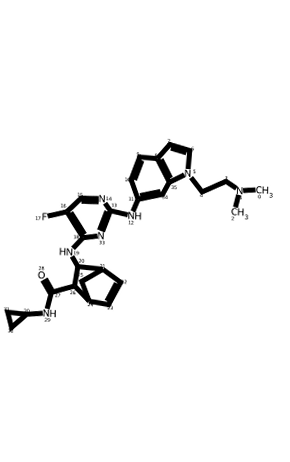 CN(C)CCn1ccc2ccc(Nc3ncc(F)c(NC4C5C=CC(C5)C4C(=O)NC4CC4)n3)cc21